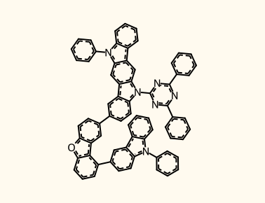 c1ccc(-c2nc(-c3ccccc3)nc(-n3c4ccc(-c5ccc6oc7cccc(-c8ccc9c(c8)c8ccccc8n9-c8ccccc8)c7c6c5)cc4c4cc5c(cc43)c3ccccc3n5-c3ccccc3)n2)cc1